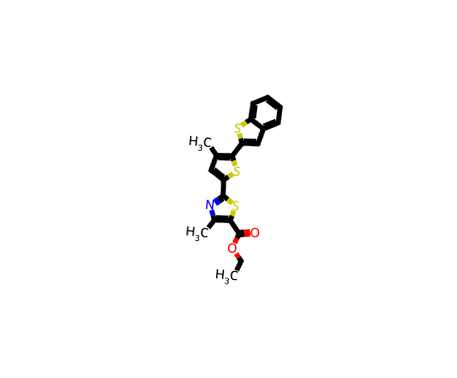 CCOC(=O)c1sc(-c2cc(C)c(-c3cc4ccccc4s3)s2)nc1C